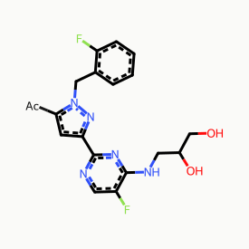 CC(=O)c1cc(-c2ncc(F)c(NCC(O)CO)n2)nn1Cc1ccccc1F